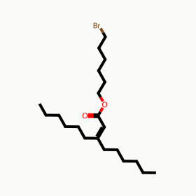 CCCCCCC(=CC(=O)OCCCCCCBr)CCCCCC